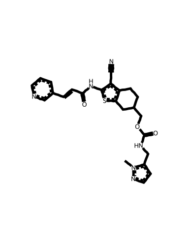 Cn1nccc1CNC(=O)OCC1CCc2c(sc(NC(=O)C=Cc3cccnc3)c2C#N)C1